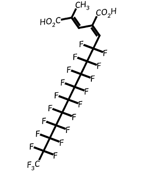 CC(=CC(=CC(F)(F)C(F)(F)C(F)(F)C(F)(F)C(F)(F)C(F)(F)C(F)(F)C(F)(F)C(F)(F)C(F)(F)F)C(=O)O)C(=O)O